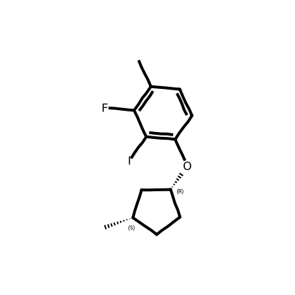 Cc1ccc(O[C@@H]2CC[C@H](C)C2)c(I)c1F